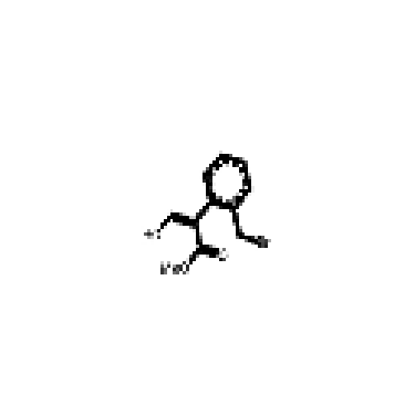 COC(=O)C(=CO)c1ccccc1CBr